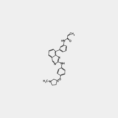 C=CC(=O)Nc1cccc(-c2cccc3cnc(Nc4ccc(O[C@H]5CCN(C)C5)cc4)nc23)c1